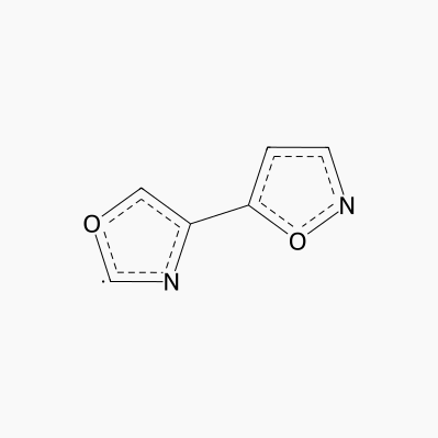 [c]1nc(-c2ccno2)co1